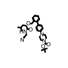 CC(C)CC(OCc1ccccc1-c1ccc(N2CCN(C(=O)OC(C)(C)C)CC2)cc1)C(=O)NCC#N